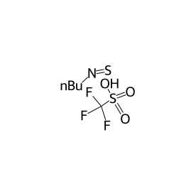 CCCCN=S.O=S(=O)(O)C(F)(F)F